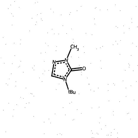 Cn1ncn(C(C)(C)C)c1=O